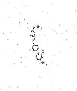 NC[C@@H]1CCN(CCc2ccc(-n3ccc(N)nc3=O)cc2)C1